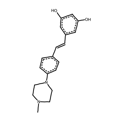 CN1CCN(c2ccc(C=Cc3cc(O)cc(O)c3)cc2)CC1